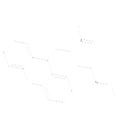 COC(=O)CC[C@H](NC1c2ccccc2Oc2ccccc21)C(=O)O